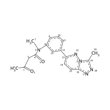 CC(=O)CC(=O)N(C)c1cccc(-c2ccc3nnc(C)n3n2)c1